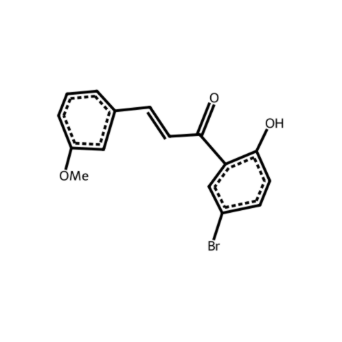 COc1cccc(C=CC(=O)c2cc(Br)ccc2O)c1